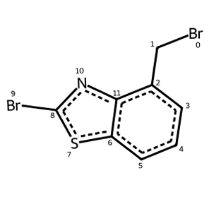 BrCc1cccc2sc(Br)nc12